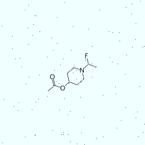 CC(=O)OC1CCN(C(C)F)CC1